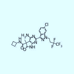 CC1(C(=O)NC2CCC2)C(=O)Nc2nc(-c3nn(CCC(F)(F)C(F)(F)F)c4cc(Cl)ccc34)nc(N)c21